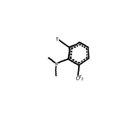 CN(C)c1c(F)cccc1C(F)(F)F